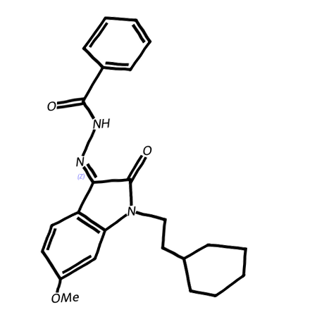 COc1ccc2c(c1)N(CCC1CCCCC1)C(=O)/C2=N\NC(=O)c1ccccc1